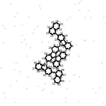 C1=C(n2c3ccccc3c3ccc(-c4cccc5ccccc45)cc32)C=C2C(C1)c1ccc(-n3c4ccccc4c4ccc(-c5cccc6ccccc56)cc43)cc1C21c2ccccc2-c2ccccc21